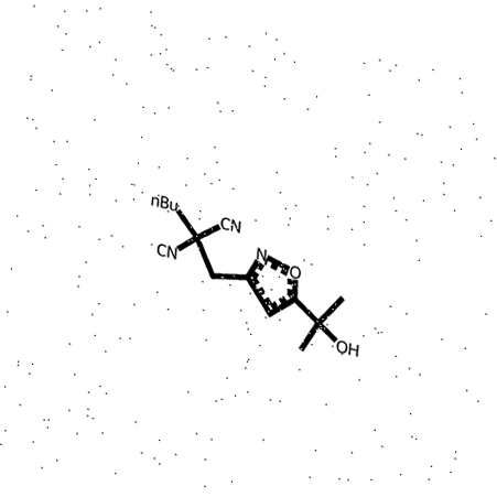 [C-]#[N+]C(C#N)(CCCC)Cc1cc(C(C)(C)O)on1